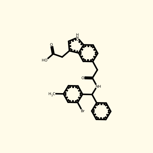 Cc1ccc(C(NC(=O)Cc2ccc3[nH]cc(CC(=O)O)c3c2)c2ccccc2)c(Br)c1